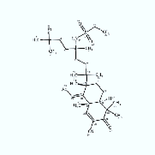 CCC(C)(C)CC[C@@](C)(CCC(C)(C)[C@]1(C)CC[C@H]2C(C)(C)C(=O)C(C#N)=C[C@]2(C)/C1=C/C(C)=O)NS(=O)(=O)CC(F)(F)F